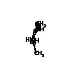 CCCCCCCCCCOC(=O)NC(=N)c1ccc(-c2ccc(OC[C@@H]3C[C@@H](CC(=O)OC)C(=O)N3)cc2)cc1